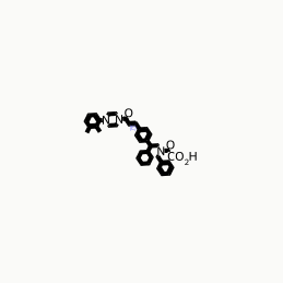 Cc1cccc(N2CCN(C(=O)/C=C/c3ccc(C(CN(Cc4ccccc4)C(=O)C(=O)O)C4CCCCC4)cc3)CC2)c1C